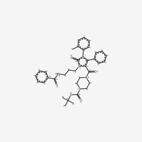 Cc1ccccc1-n1c(-c2ccccc2)c(C(=O)N2CCN(C(=O)OC(C)(C)C)CC2)n(CCCNC(=O)c2ccccc2)c1=O